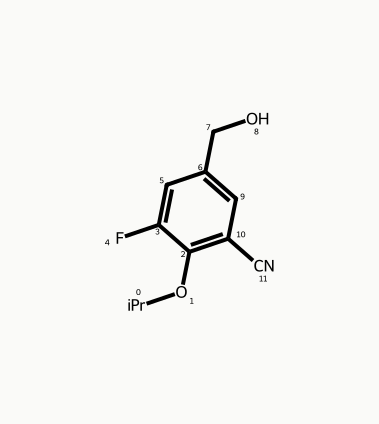 CC(C)Oc1c(F)cc(CO)cc1C#N